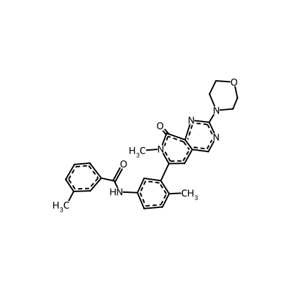 Cc1cccc(C(=O)Nc2ccc(C)c(-c3cc4cnc(N5CCOCC5)nc4c(=O)n3C)c2)c1